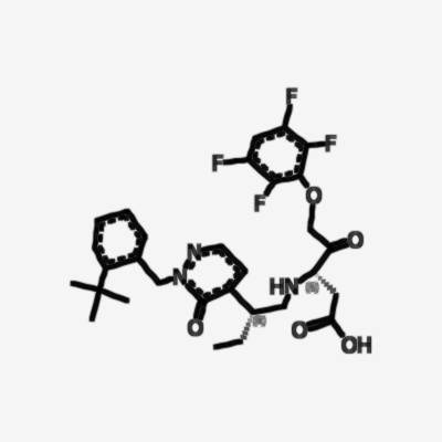 CC[C@@H](CN[C@@H](CC(=O)O)C(=O)COc1c(F)c(F)cc(F)c1F)c1ccnn(Cc2ccccc2C(C)(C)C)c1=O